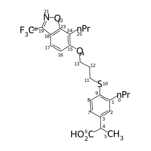 CCCc1cc(C(C)C(=O)O)ccc1SCCCOc1ccc2c(C(F)(F)F)noc2c1CCC